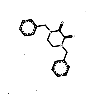 O=C1C(=O)N(Cc2ccccc2)CCN1Cc1ccccc1